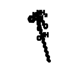 CCCCCCCCCCCC(=O)NCCOCCn1c(CCOC)nc2c(N)nc3ccccc3c21